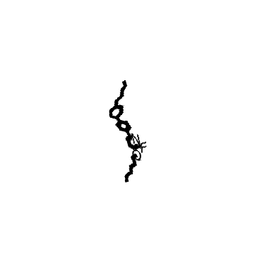 CCCCCCOc1ccc(-c2ccc(C3CCC(CCCCC)CC3)cc2)nc1F